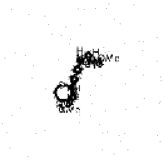 COC(=O)N[C@H]1CCCCCCOCc2[nH]c(nc2-c2ccc(-c3ccc(-c4c[nH]c([C@@H]5CCCN5C(=O)[C@@H](NC(=O)OC)C(C)C)n4)cc3)cc2)[C@@H]2CCCN2C1=O